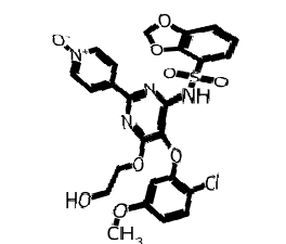 COc1ccc(Cl)c(Oc2c(NS(=O)(=O)c3cccc4c3OCO4)nc(-c3cc[n+]([O-])cc3)nc2OCCO)c1